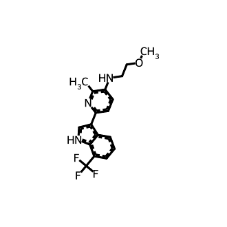 COCCNc1ccc(-c2c[nH]c3c(C(F)(F)F)cccc23)nc1C